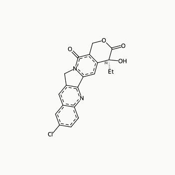 CC[C@@]1(O)C(=O)OCc2c1cc1n(c2=O)Cc2cc3cc(Cl)ccc3nc2-1